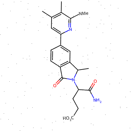 CNc1nc(-c2ccc3c(c2)C(C)N(C(CCC(=O)O)C(N)=O)C3=O)cc(C)c1C